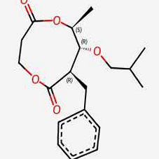 CC(C)CO[C@H]1[C@H](C)OC(=O)CCOC(=O)[C@@H]1Cc1ccccc1